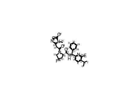 CC(C)c1ccc([C@@H](NC(=O)[C@@H]2C[C@@H](F)CN2C(=O)Cc2noc(=O)n2C)c2ccccc2)nc1F